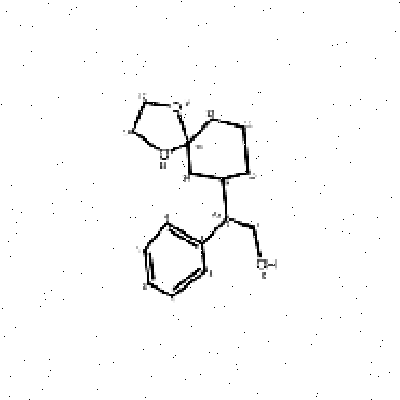 OC[C@@H](c1ccccc1)C1CCCC2(C1)OCCO2